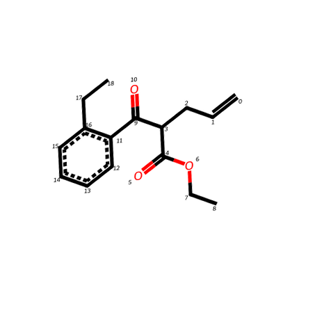 C=CCC(C(=O)OCC)C(=O)c1ccccc1CC